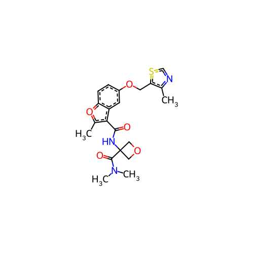 Cc1ncsc1COc1ccc2oc(C)c(C(=O)NC3(C(=O)N(C)C)COC3)c2c1